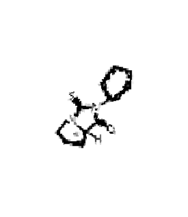 O=C1[C@@H]2CCCN2C(=S)N1c1ccccc1